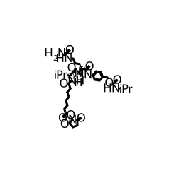 CC(C)NC(=O)OCc1ccc(NC(=O)[C@H](CCCNC(N)=O)NC(=O)[C@@H](NC(=O)CCCCCCC(=O)ON2C(=O)CCC2=O)C(C)C)cc1